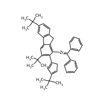 CC(C)(C)C1=CCC(c2c(C(C)(C)C)cc3c([c]2[Zr]=[C](c2ccccc2)c2ccccc2)Cc2ccc(C(C)(C)C)cc2-3)=C1